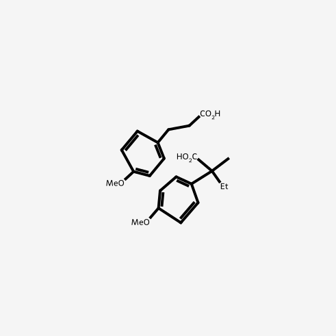 CCC(C)(C(=O)O)c1ccc(OC)cc1.COc1ccc(CCC(=O)O)cc1